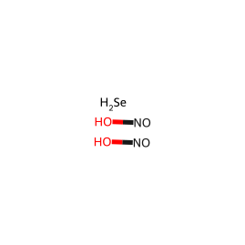 O=NO.O=NO.[SeH2]